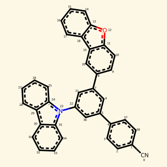 N#Cc1ccc(-c2cc(-c3ccc4oc5ccccc5c4c3)cc(-n3c4ccccc4c4ccccc43)c2)cc1